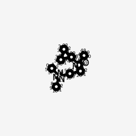 c1ccc(-c2nc(-c3ccccc3)nc(-c3ccc(-c4cccc5c4nc(-c4ccc6c7ccccc7c7ccccc7c6c4)c4c6ccccc6oc54)cc3)n2)cc1